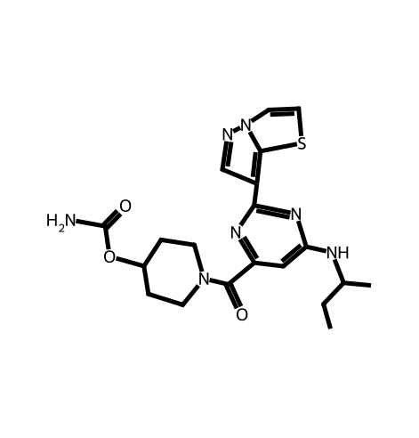 CCC(C)Nc1cc(C(=O)N2CCC(OC(N)=O)CC2)nc(-c2cnn3ccsc23)n1